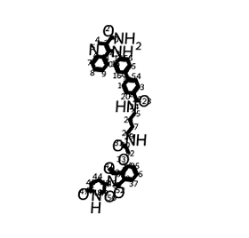 NC(=O)c1cnc2ccccc2c1Nc1ccc(-c2ccc(C(=O)NCCCCNC(=O)COc3cccc4c3C(=O)N(C3CCC(=O)NC3=O)C4=O)cc2)cc1